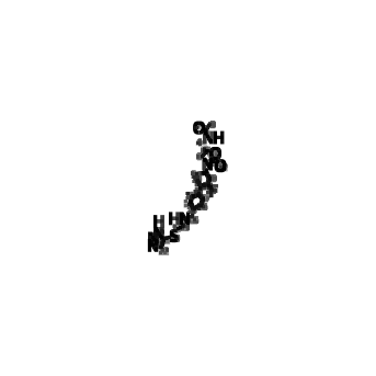 CC(=O)NC[C@H]1CN(c2ccc(-c3ccc(CNCCSc4cnn[nH]4)cc3)c(F)c2)C(=O)O1